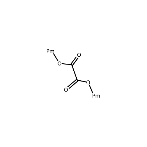 O=C([O][Pm])C(=O)[O][Pm]